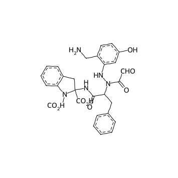 NCc1ccc(O)cc1NN(C(=O)C=O)C(Cc1ccccc1)C(=O)NC1(C(=O)O)Cc2ccccc2N1C(=O)O